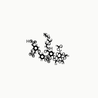 CC(=O)OC[C@@H]1O[C@H](Oc2ccc(C(=O)NCC(C)OC(C)CN=[N+]=[N-])cc2OS(=O)(=O)Oc2ccc(COc3ccc(CS(=O)O)cc3CS(=O)(=O)F)cc2)[C@@H](OC(C)=O)[C@H](OC(C)=O)[C@@H]1OC(C)=O